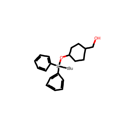 CC(C)(C)[Si](OC1CCC(CO)CC1)(c1ccccc1)c1ccccc1